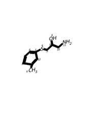 Cc1cccc(SCC(O)CN)c1